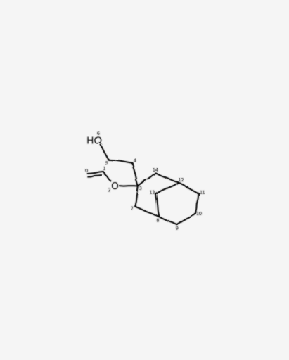 C=COC1(CCO)CC2CCCC(C2)C1